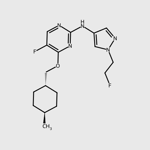 C[C@H]1CC[C@H](COc2nc(Nc3cnn(CCF)c3)ncc2F)CC1